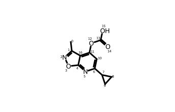 Cc1noc2nc(C3CC3)cc(OC(=O)O)c12